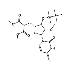 COC(=O)C(C[C@H]1O[C@@H](n2ccc(=O)[nH]c2=O)[C@@H](OC)C1O[Si](C)(C)C(C)(C)C)C(=O)OC